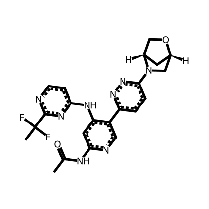 CC(=O)Nc1cc(Nc2ccnc(C(C)(F)F)n2)c(-c2ccc(N3C[C@@H]4C[C@H]3CO4)nn2)cn1